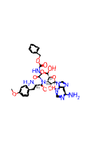 COc1ccc(C[C@H](N)C(=O)N(C(=O)CNC(=O)OCc2ccccc2)[C@H]2[C@@H](O)[C@H](n3cnc4c(N)ncnc43)O[C@@H]2C(=O)O)cc1